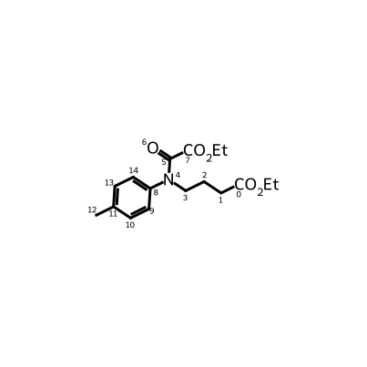 CCOC(=O)CCCN(C(=O)C(=O)OCC)c1ccc(C)cc1